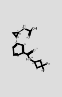 O=C(O)N[C@@H]1C[C@H]1c1cccc(C(=O)NC2CC(F)(F)C2)c1